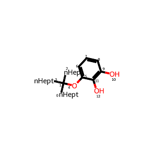 CCCCCCCC(CCCCCCC)(CCCCCCC)Oc1cccc(O)c1O